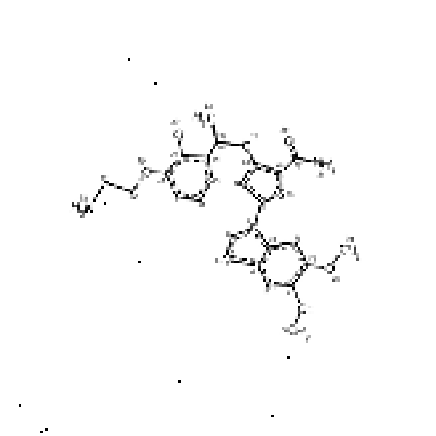 COc1cc2ncn(-c3cc(O[C@H](C)c4cccc(OCCN)c4Cl)c(C(N)=O)s3)c2cc1OC